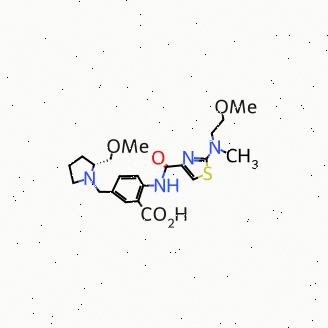 COCCN(C)c1nc(C(=O)Nc2ccc(CN3CCC[C@@H]3COC)cc2C(=O)O)cs1